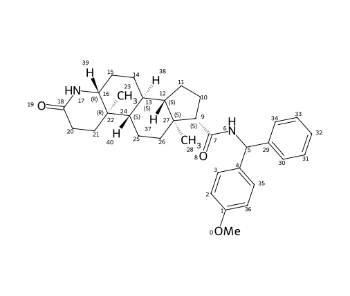 COc1ccc(C(NC(=O)[C@H]2CC[C@H]3[C@@H]4CC[C@H]5NC(=O)CC[C@]5(C)[C@H]4CC[C@]23C)c2ccccc2)cc1